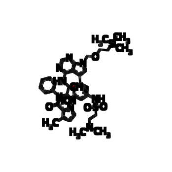 Cc1ccn2nc(C(C)Nc3ncnc4c3c(-c3cc(O)cc(NS(=O)(=O)CCN(C)C)c3)cn4COCC[Si](C)(C)C)n(-c3ccccc3)c(=O)c12